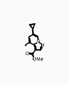 COC(=O)c1cnn2cc(C3CC3)cc(C)c12